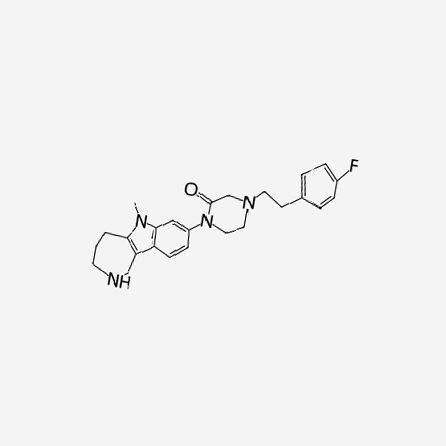 Cn1c2c(c3ccc(N4CCN(CCc5ccc(F)cc5)CC4=O)cc31)CNCCC2